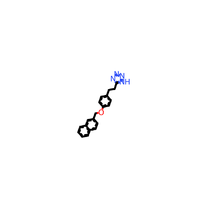 c1ccc2cc(COc3ccc(CCc4nnn[nH]4)cc3)ccc2c1